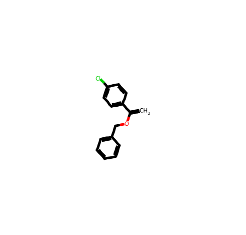 C=C(OCc1ccccc1)c1ccc(Cl)cc1